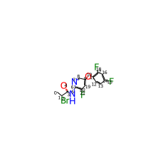 CC(Br)C(=O)Nc1ncc(Oc2ccc(F)cc2F)cc1F